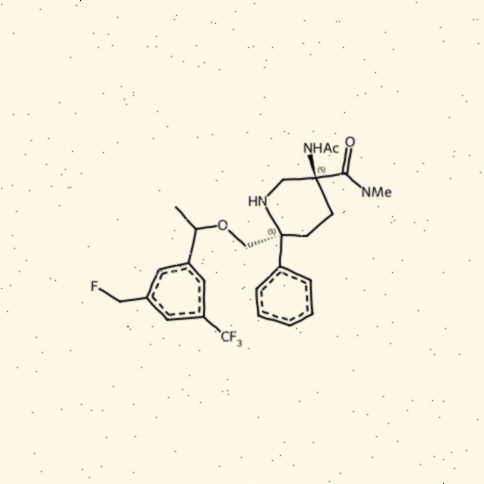 CNC(=O)[C@]1(NC(C)=O)CC[C@@](COC(C)c2cc(CF)cc(C(F)(F)F)c2)(c2ccccc2)NC1